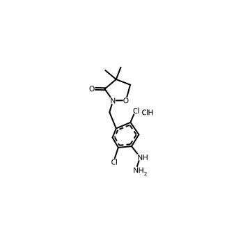 CC1(C)CON(Cc2cc(Cl)c(NN)cc2Cl)C1=O.Cl